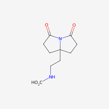 O=C(O)NCCC12CCC(=O)N1C(=O)CC2